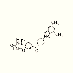 CC[C@]1(c2ccc(C(=O)N3CCC(n4cc5cc(C)cc(C)c5n4)CC3)cc2)NC(=O)NC1=O